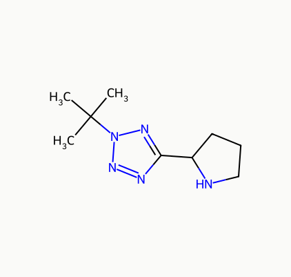 CC(C)(C)n1nnc(C2CCCN2)n1